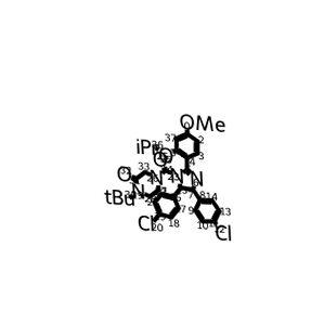 COc1ccc(C2=NC(c3ccc(Cl)cc3)C(c3ccc(Cl)cc3)N2C(=O)N2CCN(C(C)(C)C)C(=O)C2)c(OC(C)C)c1